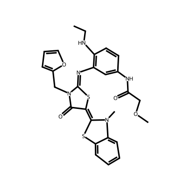 CCNc1ccc(NC(=O)COC)cc1N=C1SC(=C2Sc3ccccc3N2C)C(=O)N1Cc1ccco1